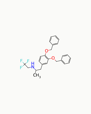 CC(Cc1ccc(OCc2ccccc2)c(OCc2ccccc2)c1)NCC(F)(F)F